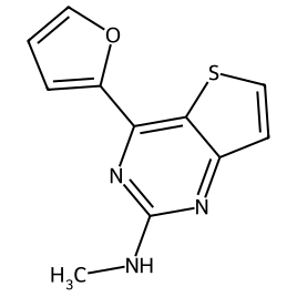 CNc1nc(-c2ccco2)c2sccc2n1